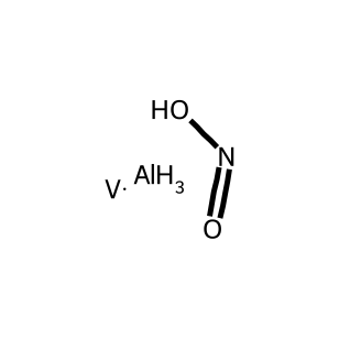 O=NO.[AlH3].[V]